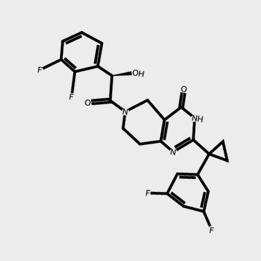 O=C([C@H](O)c1cccc(F)c1F)N1CCc2nc(C3(c4cc(F)cc(F)c4)CC3)[nH]c(=O)c2C1